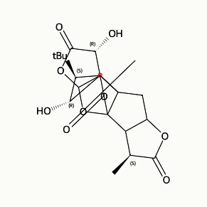 C[C@@H]1C(=O)OC2CC34C5OC(=O)C3(OC3OC(=O)[C@H](O)C34[C@H](C(C)(C)C)[C@H]5O)C21